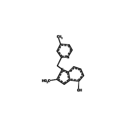 Cc1ccnc(Cn2c(C(=O)O)cc3c(O)cccc32)c1